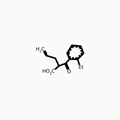 C=CCC(C(=O)O)C(=O)c1ccccc1CC